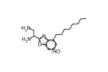 CCCCCCCCc1cccc2oc(C(N)CN)nc12.Cl